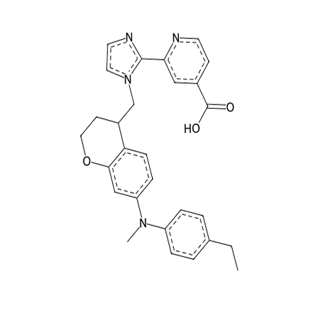 CCc1ccc(N(C)c2ccc3c(c2)OCCC3Cn2ccnc2-c2cc(C(=O)O)ccn2)cc1